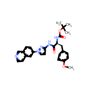 COc1ccc(C[C@H](NC(=O)OC(C)(C)C)C(=O)Nc2ccn(-c3ccc4cnccc4c3)n2)cc1